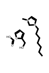 CCCCCCCN1C=CN(C)C1.O=CO.OCc1ccco1